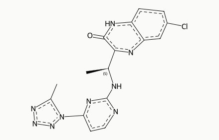 Cc1nnnn1-c1ccnc(N[C@@H](C)c2nc3cc(Cl)ccc3[nH]c2=O)n1